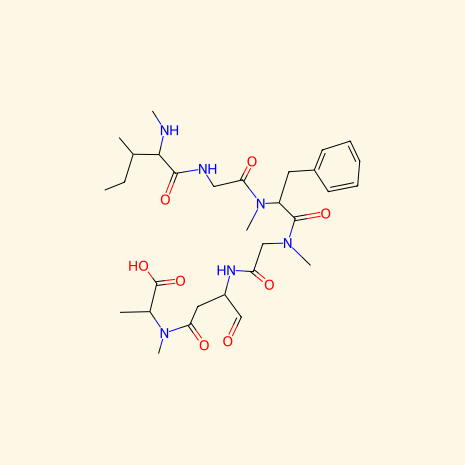 CCC(C)C(NC)C(=O)NCC(=O)N(C)C(Cc1ccccc1)C(=O)N(C)CC(=O)NC(C=O)CC(=O)N(C)C(C)C(=O)O